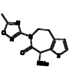 CNC1C(=O)N(c2noc(C)n2)CCc2ccsc21